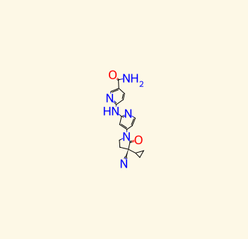 N#C[C@@]1(C2CC2)CCN(c2ccnc(Nc3ccc(C(N)=O)cn3)c2)C1=O